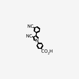 N#Cc1cccc(-c2cn(-c3ccc(C(=O)O)cc3)cc2C#N)c1